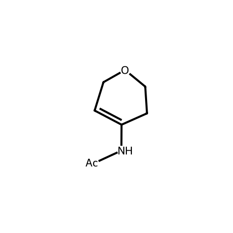 CC(=O)NC1=CCOCC1